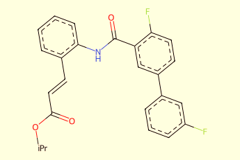 CC(C)OC(=O)/C=C/c1ccccc1NC(=O)c1cc(-c2cccc(F)c2)ccc1F